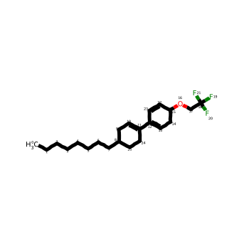 CCCCCCCCC1CC=C(C2=CCC(OCC(F)(F)F)C=C2)CC1